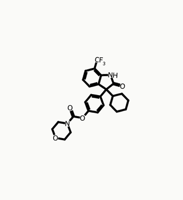 O=C(Oc1ccc(C2(C3CCCCC3)C(=O)Nc3c(C(F)(F)F)cccc32)cc1)N1CCOCC1